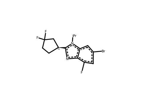 CC(C)n1c([C@H]2CCC(F)(F)C2)nc2c(F)cc(Br)cc21